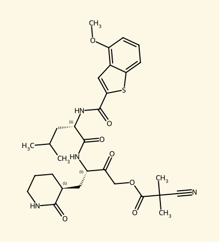 COc1cccc2sc(C(=O)N[C@@H](CC(C)C)C(=O)N[C@@H](C[C@@H]3CCCNC3=O)C(=O)COC(=O)C(C)(C)C#N)cc12